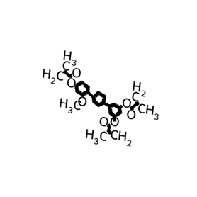 C=C(C)C(=O)Oc1cc(OC(=O)C(=C)C)cc(-c2ccc(-c3ccc(OC(=O)C(=C)C)cc3OC)cc2)c1